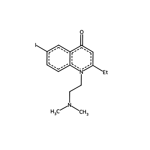 CCc1cc(=O)c2cc(I)ccc2n1CCN(C)C